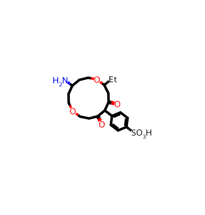 CCC1CC(=O)C(c2ccc(S(=O)(=O)O)cc2)C(=O)CCOCCC(N)CCO1